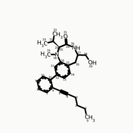 CCCCC#Cc1ccccc1-c1ccc2c(c1)N(C)[C@@H](C(C)C)C(=O)NC(CO)C2